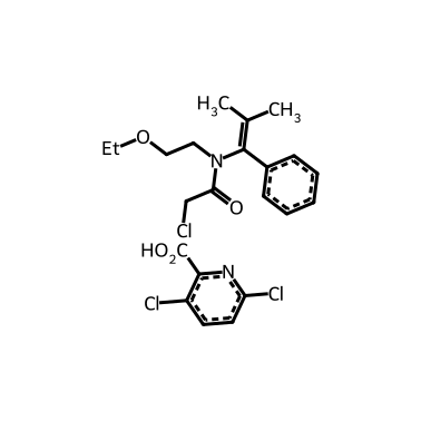 CCOCCN(C(=O)CCl)C(=C(C)C)c1ccccc1.O=C(O)c1nc(Cl)ccc1Cl